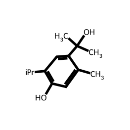 Cc1cc(O)c(C(C)C)cc1C(C)(C)O